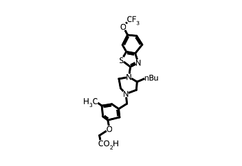 CCCCC1CN(Cc2cc(C)cc(OCC(=O)O)c2)CCN1c1nc2ccc(OC(F)(F)F)cc2s1